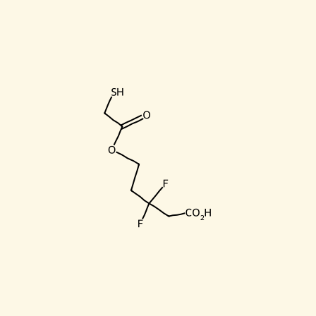 O=C(O)CC(F)(F)CCOC(=O)CS